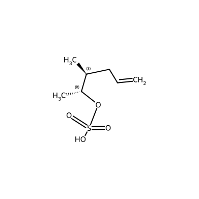 C=CC[C@H](C)[C@@H](C)OS(=O)(=O)O